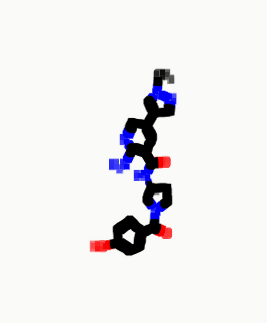 Cn1cc(-c2cnc(N)c(C(=O)N[C@@H]3CCN(C(=O)c4ccc(O)cc4)C3)c2)cn1